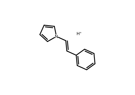 C(=Cn1cccc1)c1ccccc1.[H+]